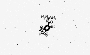 CCc1cc([S+]([O-])C(C)C)c(S(C)(=O)=O)cc1C(=O)N=C(N)N